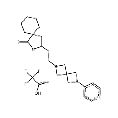 O=C(O)C(F)(F)F.O=C1OC(CCN2CC3(C2)CN(c2ccncc2)C3)CC12CCCCC2